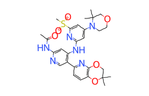 CC(=O)Nc1cc(Nc2cc(N3CCOCC3(C)C)cc(S(C)(=O)=O)n2)c(-c2ccc3c(n2)OCC(C)(C)O3)cn1